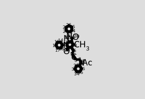 CC(=O)N(CC=C=CC=c1c(C)c2c(n(-c3ccccc3)c1=O)=NN(c1ccccc1)C2=O)c1ccccc1